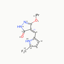 CC(C)OC1=NNC(=O)/C1=C\c1ccc(C(F)(F)F)[nH]1